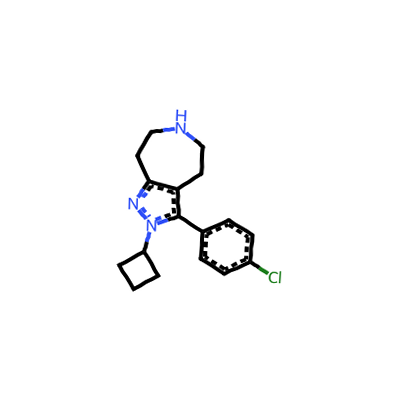 Clc1ccc(-c2c3c(nn2C2CCC2)CCNCC3)cc1